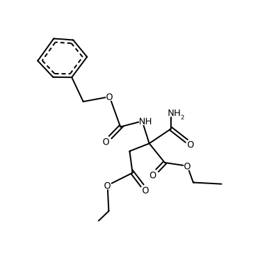 CCOC(=O)CC(NC(=O)OCc1ccccc1)(C(N)=O)C(=O)OCC